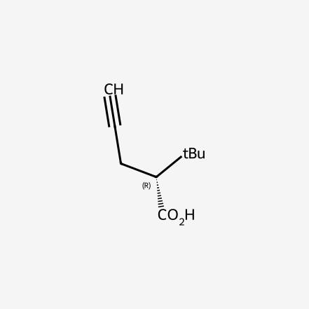 C#CC[C@@H](C(=O)O)C(C)(C)C